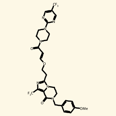 COc1ccc(CN2CCn3c(CCO/C=C/C(=O)N4CCN(c5ncc(C(F)(F)F)cn5)CC4)nc(C(F)(F)F)c3C2=O)cc1